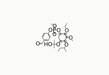 CCO[C@@H]1[C@H](OC)[C@@H](OC(C)CC)[C@H](OC(C)(C)O)C[C@@H]1OP(=O)(OC)Oc1ccc(C=O)cc1